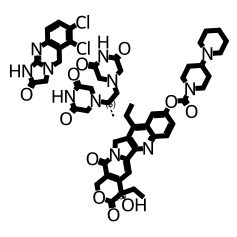 CCc1c2c(nc3ccc(OC(=O)N4CCC(N5CCCCC5)CC4)cc13)-c1cc3c(c(=O)n1C2)COC(=O)[C@]3(O)CC.C[C@@H](CN1CC(=O)NC(=O)C1)N1CC(=O)NC(=O)C1.O=C1CN2Cc3c(ccc(Cl)c3Cl)N=C2N1